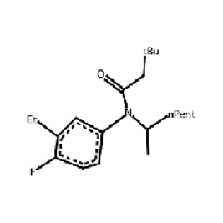 CCCCCC(C)N(C(=O)CC(C)(C)C)c1ccc(F)c(CC)c1